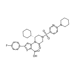 O=C(O)c1sc(-c2ccc(F)cc2)cc1N1C(=O)CN(S(=O)(=O)c2ccc(N3CCCCC3)nc2)C[C@H]1C1CCCCC1